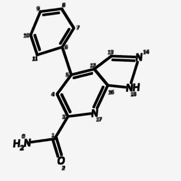 NC(=O)c1cc(-c2ccccc2)c2cn[nH]c2n1